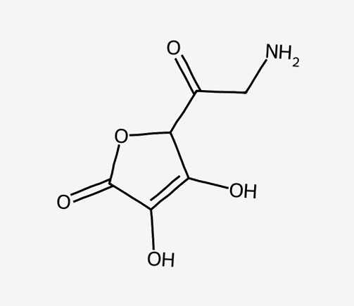 NCC(=O)C1OC(=O)C(O)=C1O